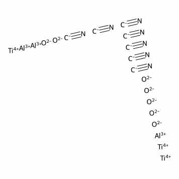 [Al+3].[Al+3].[Al+3].[C-]#N.[C-]#N.[C-]#N.[C-]#N.[C-]#N.[C-]#N.[C-]#N.[O-2].[O-2].[O-2].[O-2].[O-2].[O-2].[O-2].[Ti+4].[Ti+4].[Ti+4]